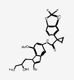 COc1cc(NC(=O)C2(c3ccc4c(c3)OC(F)(F)O4)CC2)cc2c1C(C[C@@H](O)CO)C(C(C)(C)C)=C2